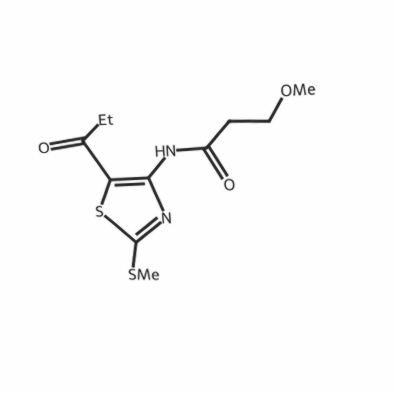 CCC(=O)c1sc(SC)nc1NC(=O)CCOC